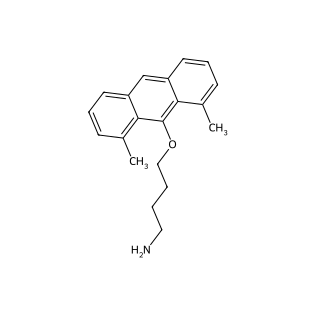 Cc1cccc2cc3cccc(C)c3c(OCCCCN)c12